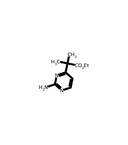 CCOC(=O)C(C)(C)c1ccnc(N)n1